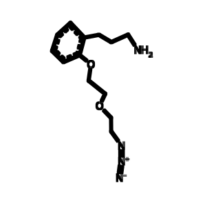 [N-]=[N+]=NCCOCCOc1ccccc1CCCN